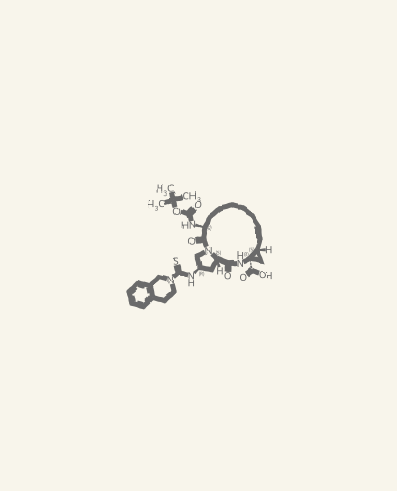 CC(C)(C)OC(=O)N[C@H]1CCCCCC=C[C@@H]2C[C@@]2(C(=O)O)NC(=O)[C@@H]2C[C@@H](NC(=S)N3CCc4ccccc4C3)CN2C1=O